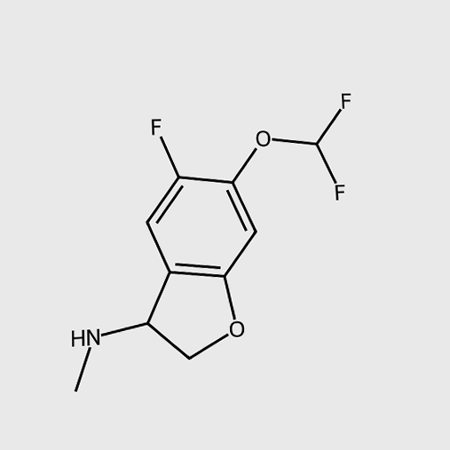 CNC1COc2cc(OC(F)F)c(F)cc21